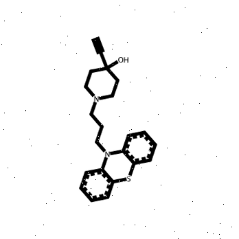 C#CC1(O)CCN(CCCN2c3ccccc3Sc3ccccc32)CC1